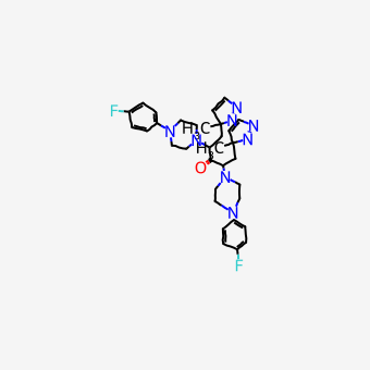 CC1(CC(C(=O)C(CC2(C)C=CN=N2)N2CCN(c3ccc(F)cc3)CC2)N2CCN(c3ccc(F)cc3)CC2)C=CN=N1